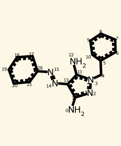 Nc1nn(Cc2ccccc2)c(N)c1N=Nc1ccccc1